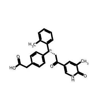 Cc1ccccc1[C@H](CC(=O)c1c[nH]c(=O)c(C)c1)c1ccc(CC(=O)O)cc1